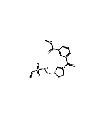 C=CS(=O)(=O)NC[C@H]1CCN(C(=O)c2cccc(C(=O)OC)c2)C1